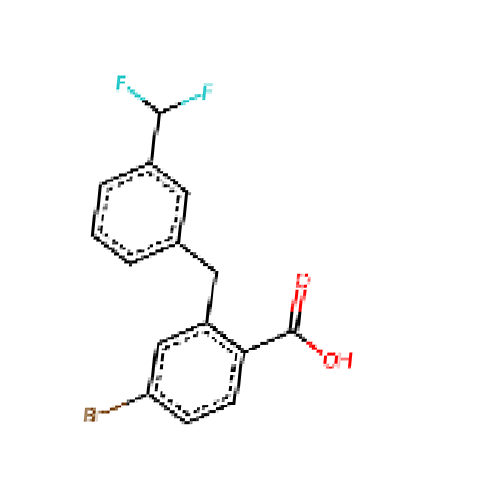 O=C(O)c1ccc(Br)cc1Cc1cccc(C(F)F)c1